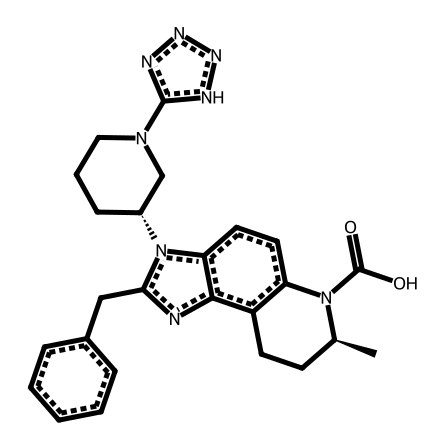 C[C@H]1CCc2c(ccc3c2nc(Cc2ccccc2)n3[C@@H]2CCCN(c3nnn[nH]3)C2)N1C(=O)O